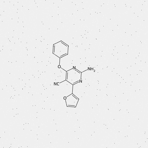 N#Cc1c(Oc2ccccc2)nc(N)nc1-c1ccco1